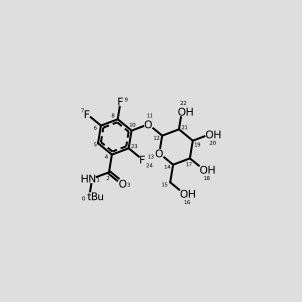 CC(C)(C)NC(=O)c1cc(F)c(F)c(OC2OC(CO)C(O)C(O)C2O)c1F